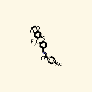 CC(=O)N1CCN(C(=O)/C=C/c2ccc(Sc3ccc4c(c3)OCCO4)c(C(F)(F)F)c2)CC1